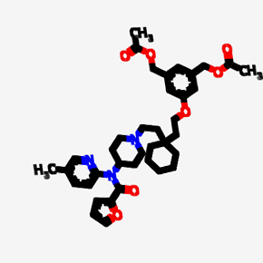 CC(=O)OCc1cc(COC(C)=O)cc(OCCC2(CCN3CCC(N(C(=O)c4ccco4)c4ccc(C)cn4)CC3)CCCCC2)c1